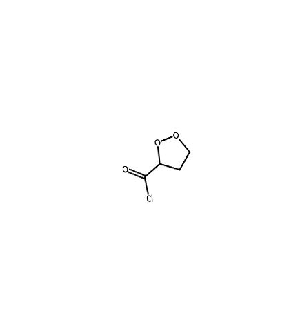 O=C(Cl)C1CCOO1